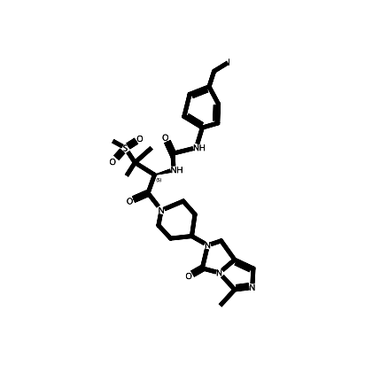 Cc1ncc2n1C(=O)N(C1CCN(C(=O)[C@H](NC(=O)Nc3ccc(CI)cc3)C(C)(C)S(C)(=O)=O)CC1)C2